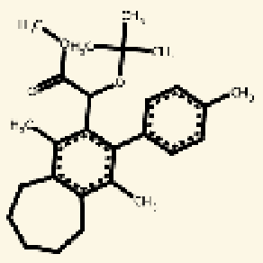 COC(=O)C(OC(C)(C)C)c1c(C)c2c(c(C)c1-c1ccc(C)cc1)CCCCC2